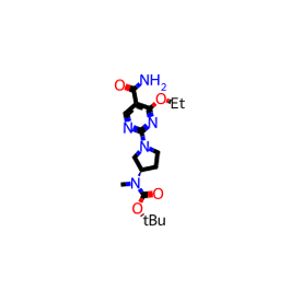 CCOc1nc(N2CC[C@H](N(C)C(=O)OC(C)(C)C)C2)ncc1C(N)=O